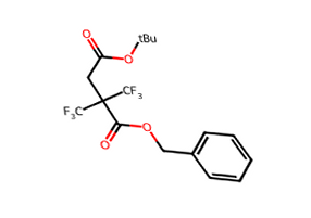 CC(C)(C)OC(=O)CC(C(=O)OCc1ccccc1)(C(F)(F)F)C(F)(F)F